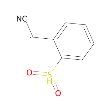 N#C[CH]c1ccccc1[SH](=O)=O